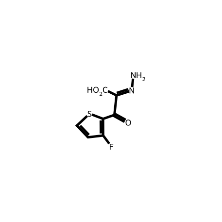 N/N=C(\C(=O)O)C(=O)c1sccc1F